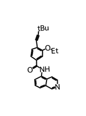 CCOc1cc(C(=O)Nc2cccc3cnccc23)ccc1C#CC(C)(C)C